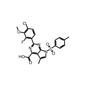 COc1c(Cl)ccc(-c2nc(C(=O)O)c3c(C)cn(S(=O)(=O)c4ccc(C)cc4)c3n2)c1F